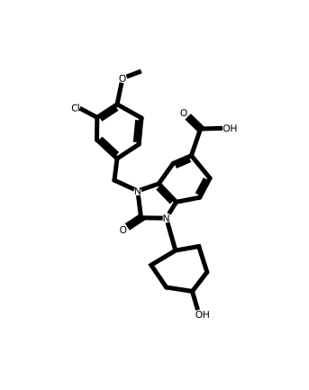 COc1ccc(Cn2c(=O)n(C3CCC(O)CC3)c3ccc(C(=O)O)cc32)cc1Cl